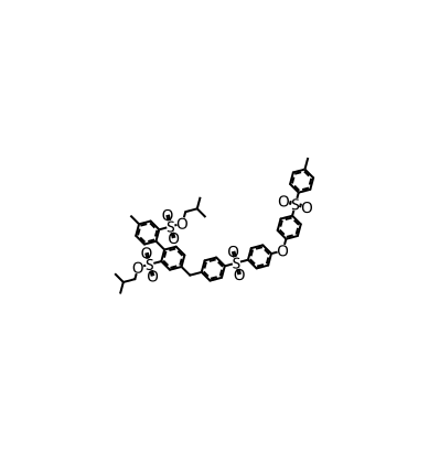 Cc1ccc(S(=O)(=O)c2ccc(Oc3ccc(S(=O)(=O)c4ccc(Cc5ccc(-c6ccc(C)cc6S(=O)(=O)OCC(C)C)c(S(=O)(=O)OCC(C)C)c5)cc4)cc3)cc2)cc1